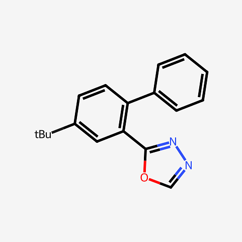 CC(C)(C)c1ccc(-c2ccccc2)c(-c2nnco2)c1